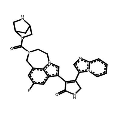 O=C1NCC(c2cnc3ccccn23)=C1c1cn2c3c(cc(F)cc13)CN(C(=O)N1CC3CC1CN3)CC2